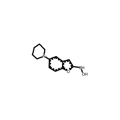 OBc1cc2cc(N3CCCCC3)ccc2o1